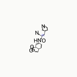 N#C/C(=C\c1cccnc1)C(=O)NC1=CC2C(C=C1)C=CS2(=O)=O